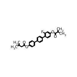 C=C(C)CC(=O)Oc1ccc(-c2ccc(-c3ccc(OC(=O)C(=C)C)cc3F)cc2)cc1